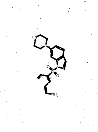 C=C/C(=C\C=C/N)S(=O)(=O)n1ccc2ccc(N3CCNCC3)cc21